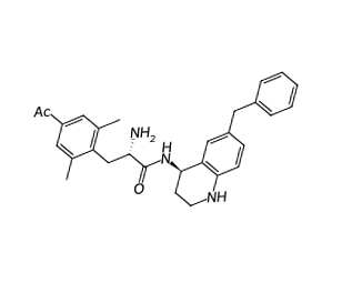 CC(=O)c1cc(C)c(C[C@H](N)C(=O)N[C@@H]2CCNc3ccc(Cc4ccccc4)cc32)c(C)c1